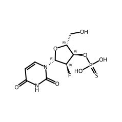 O=c1ccn([C@@H]2O[C@H](CO)[C@@H](OP(O)(O)=S)[C@H]2F)c(=O)[nH]1